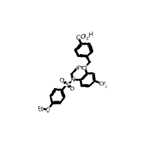 CCOc1ccc(S(=O)(=O)N(CC(C)C)c2ccc(C(F)(F)F)cc2OCc2ccc(C(=O)O)cc2)cc1